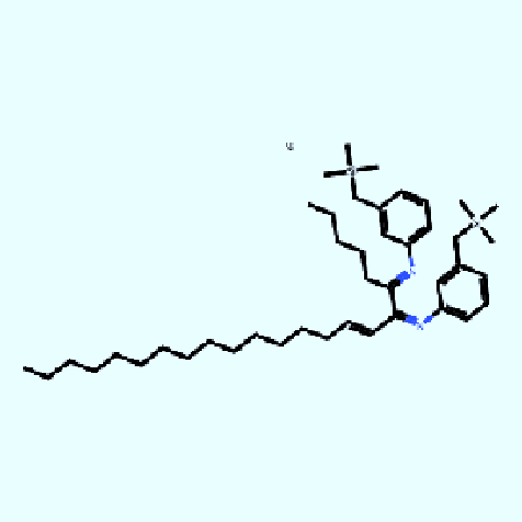 CCCCCCCCCCCCCCC=CC(=Nc1cccc(C[Si](C)(C)C)c1)C(CCCCC)=Nc1cccc(C[Si](C)(C)C)c1.[Ni]